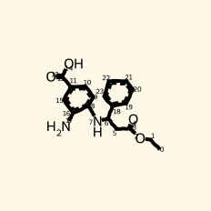 CCOC(=O)CC(Nc1ccc(C(=O)O)cc1N)c1ccccc1